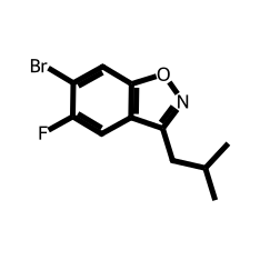 CC(C)Cc1noc2cc(Br)c(F)cc12